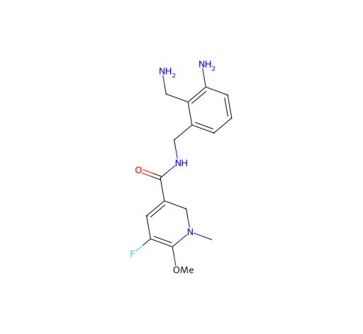 COC1=C(F)C=C(C(=O)NCc2cccc(N)c2CN)CN1C